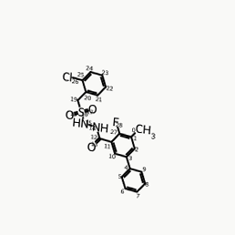 Cc1cc(-c2ccccc2)cc(C(=O)NNS(=O)(=O)Cc2ccccc2Cl)c1F